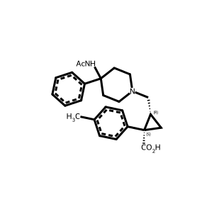 CC(=O)NC1(c2ccccc2)CCN(C[C@@H]2C[C@@]2(C(=O)O)c2ccc(C)cc2)CC1